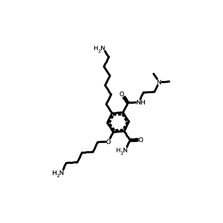 CN(C)CCNC(=O)c1cc(C(N)=O)c(OCCCCCN)cc1CCCCCCN